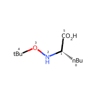 CCCC[C@H](NOC(C)(C)C)C(=O)O